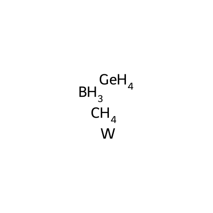 B.C.[GeH4].[W]